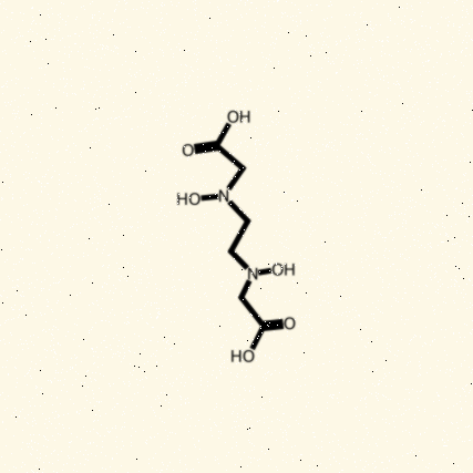 O=C(O)CN(O)CCN(O)CC(=O)O